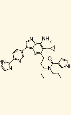 CCCN(C(=O)c1cc[nH]c1)[C@H](CC)CCc1nc2c(-c3ccc(-c4ncc[nH]4)nc3)cnn2c(N)c1C1CC1